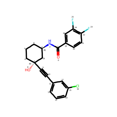 O=C(N[C@@H]1CCC[C@](O)(C#Cc2cccc(Cl)c2)C1)c1ccc(F)c(F)c1